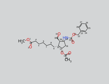 COC(=O)CCCCCC[C@H]1[C@@H](OC(C)=O)CC(NC(=O)OCc2ccccc2)[C@@H]1C=O